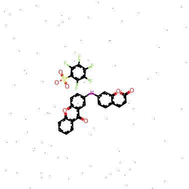 O=S(=O)([O-])c1c(F)c(F)c(F)c(F)c1F.O=c1ccc2ccc([I+]c3ccc4oc5ccccc5c(=O)c4c3)cc2o1